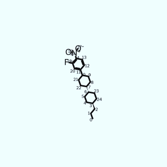 CCC[C@H]1CC[C@H](C2CCC(c3ccc([N+](=O)[O-])c(F)c3)CC2)CC1